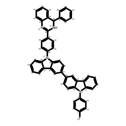 Fc1ccc(-n2c3ccccc3c3cc(-c4ccc5c(c4)c4ccccc4n5-c4ccc(C5=Nc6ccccc6C(c6ccccc6)N5)cc4)ccc32)cc1